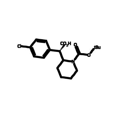 CC(C)(C)OC(=O)N1CCCCC1[C@@H](C(=O)O)c1ccc(Cl)cc1